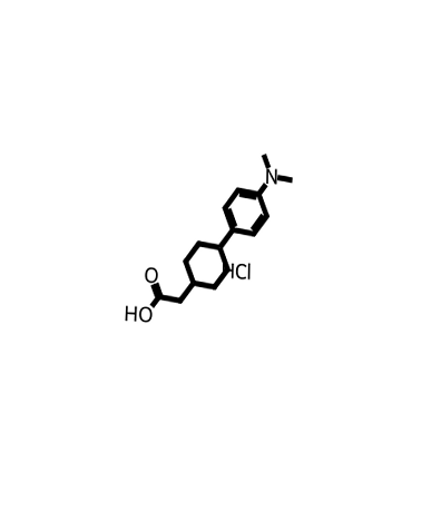 CN(C)c1ccc(C2CCC(CC(=O)O)CC2)cc1.Cl